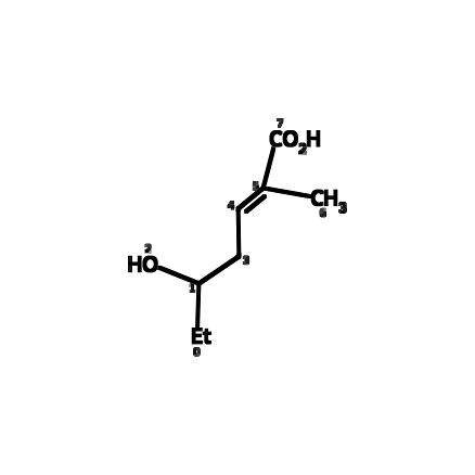 CCC(O)CC=C(C)C(=O)O